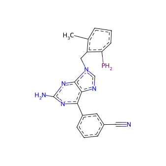 Cc1cccc(P)c1Cn1cnc2c(-c3cccc(C#N)c3)nc(N)nc21